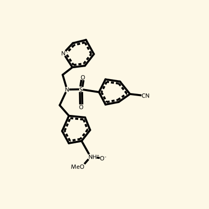 CO[NH+]([O-])c1ccc(CN(Cc2ccccn2)S(=O)(=O)c2ccc(C#N)cc2)cc1